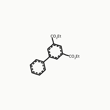 CCOC(=O)c1cc(C(=O)OCC)cc(-c2ccccc2)c1